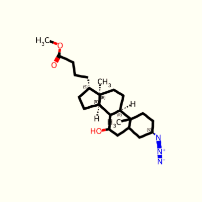 COC(=O)CCC[C@H]1CC[C@@H]2C3C(O)CC4C[C@@H](N=[N+]=[N-])CCC4(C)[C@@H]3CC[C@]12C